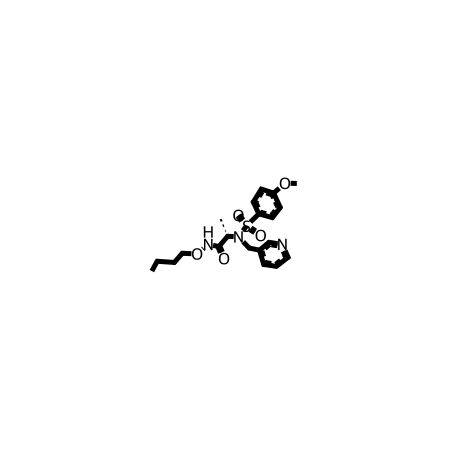 CCCCONC(=O)[C@H](C)N(Cc1cccnc1)S(=O)(=O)c1ccc(OC)cc1